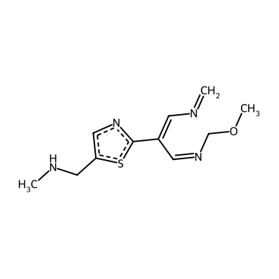 C=N/C=C(\C=N/COC)c1ncc(CNC)s1